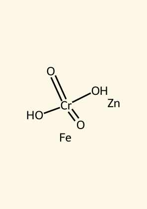 [Fe].[O]=[Cr](=[O])([OH])[OH].[Zn]